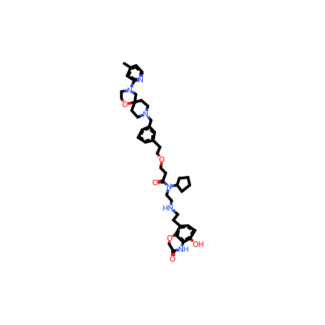 Cc1ccnc(N2CCOC3(CCN(Cc4cccc(CCOCCC(=O)N(CCNCCc5ccc(O)c6c5OCC(=O)N6)C5CCCC5)c4)CC3)C2)c1